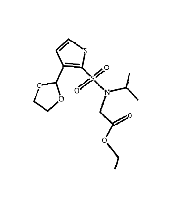 CCOC(=O)CN(C(C)C)S(=O)(=O)c1sccc1C1OCCO1